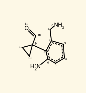 NCc1cccc(N)c1C1(C=O)CC1